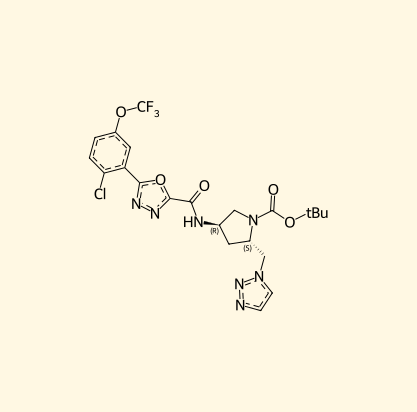 CC(C)(C)OC(=O)N1C[C@H](NC(=O)c2nnc(-c3cc(OC(F)(F)F)ccc3Cl)o2)C[C@H]1Cn1ccnn1